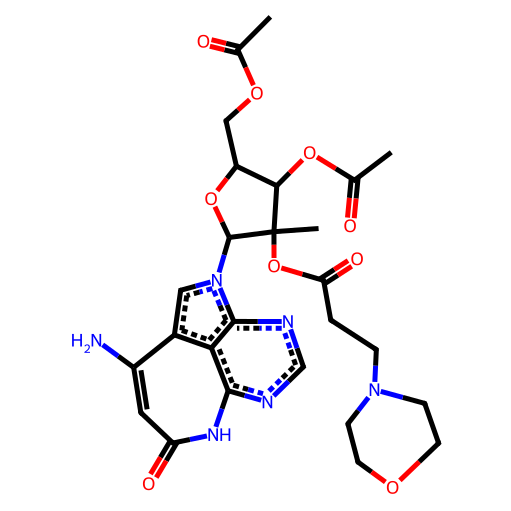 CC(=O)OCC1OC(n2cc3c4c(ncnc42)NC(=O)C=C3N)C(C)(OC(=O)CCN2CCOCC2)C1OC(C)=O